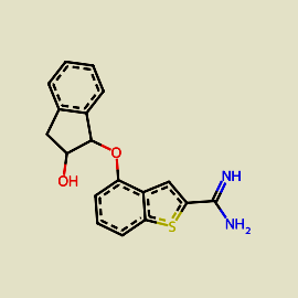 N=C(N)c1cc2c(OC3c4ccccc4CC3O)cccc2s1